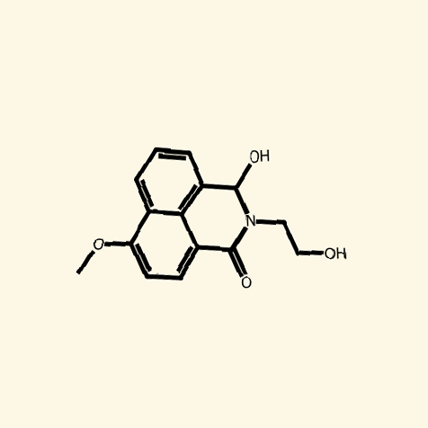 COc1ccc2c3c(cccc13)C(O)N(CCO)C2=O